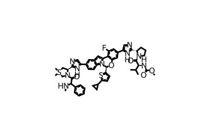 CNC(C(=O)N1CS(C)(C)C[C@H]1c1ncc(-c2ccc3c(c2)cc2n3[C@H](c3ccc(C4CC4)s3)Oc3cc(-c4cnc([C@@H]5CCCN5C(=O)[C@@H](NC(=O)OC)C(C)C)[nH]4)cc(F)c3-2)[nH]1)c1ccccc1